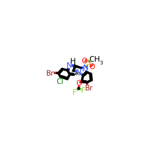 CS(=O)(=O)N1c2ccc(Br)c(OC(F)F)c2[N@+]23C=c4cc(Cl)c(Br)cc4=N[C@H](C2)C13